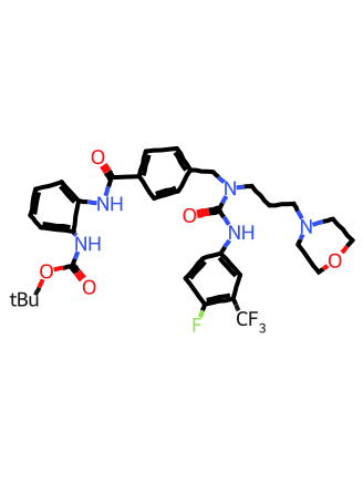 CC(C)(C)OC(=O)Nc1ccccc1NC(=O)c1ccc(CN(CCCN2CCOCC2)C(=O)Nc2ccc(F)c(C(F)(F)F)c2)cc1